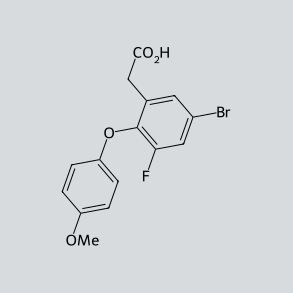 COc1ccc(Oc2c(F)cc(Br)cc2CC(=O)O)cc1